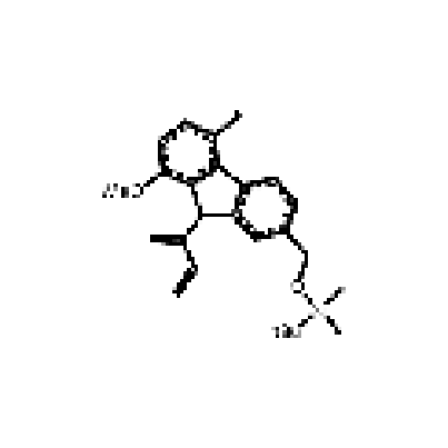 C=CC(=C)C1c2cc(CO[Si](C)(C)C(C)(C)C)ccc2-c2c(F)ccc(OC)c21